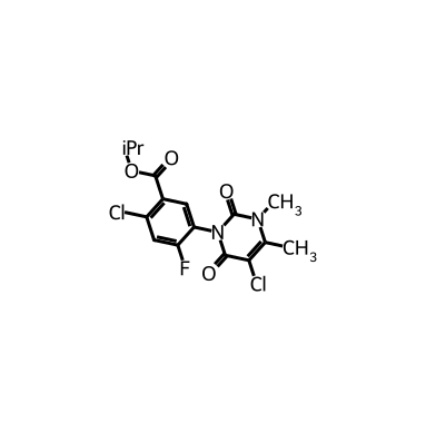 Cc1c(Cl)c(=O)n(-c2cc(C(=O)OC(C)C)c(Cl)cc2F)c(=O)n1C